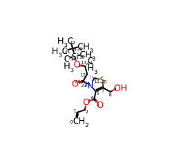 C=CCOC(=O)C1=C(CO)SC2[C@@H]([C@@H](C)O[Si](C)(C)C(C)(C)C)C(=O)N12